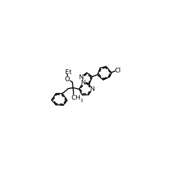 CCOCC(C)(Cc1ccccc1)c1ccnc2c(-c3ccc(Cl)cc3)cnn12